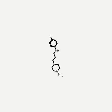 CN1CCN(CCCNc2ccc(F)cc2)CC1